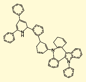 C1=CC2=C(CC1)N(C1=CC(c3cccc(C4C=C(c5ccccc5)C=C(c5ccccc5)N4)c3)CC=C1)c1ccccc1-c1c2c2ccccc2n1-c1ccccc1